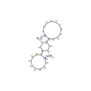 CN1CCCCCCCCCCC1C1CCC(C2CCCCCCCCN2C)CC1